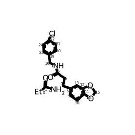 CCC(N)=O.O=C(CCc1ccc2c(c1)OCO2)NCc1ccc(Cl)cc1